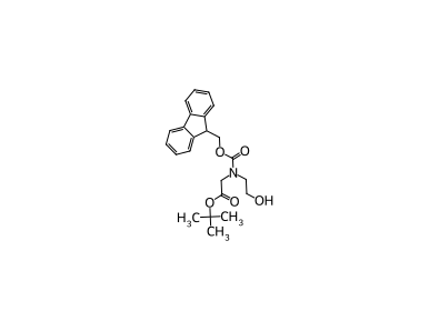 CC(C)(C)OC(=O)CN(CCO)C(=O)OCC1c2ccccc2-c2ccccc21